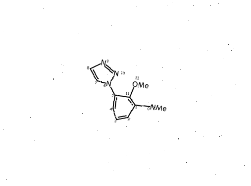 CNc1cccc(-n2ccnn2)c1OC